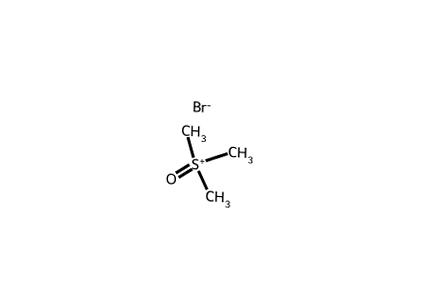 C[S+](C)(C)=O.[Br-]